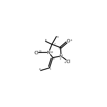 CC=C1N(Cl)C(=O)C(C)(C)N1Cl